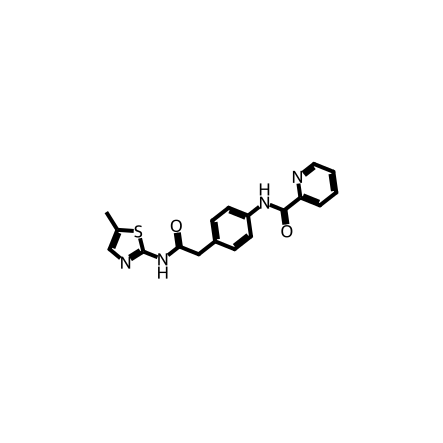 Cc1cnc(NC(=O)Cc2ccc(NC(=O)c3ccccn3)cc2)s1